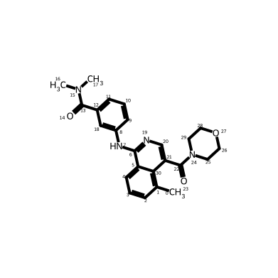 Cc1cccc2c(Nc3cccc(C(=O)N(C)C)c3)ncc(C(=O)N3CCOCC3)c12